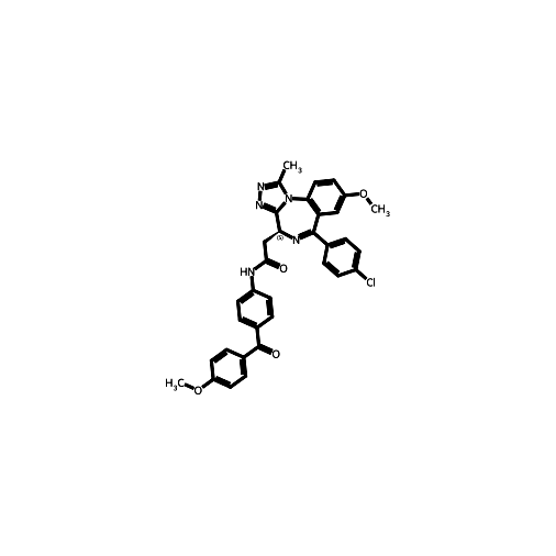 COc1ccc(C(=O)c2ccc(NC(=O)C[C@@H]3N=C(c4ccc(Cl)cc4)c4cc(OC)ccc4-n4c(C)nnc43)cc2)cc1